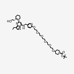 CCc1cnn2c(NCc3ccc(OCCOCCOCCOCCOCCOC4CCN(C(=O)OC(C)(C)C)CC4)nc3)cc(N3CCCC[C@H]3CCO)nc12